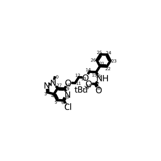 Cn1ncc2cc(Cl)nc(OCCOCC(NC(=O)OC(C)(C)C)c3ccccc3)c21